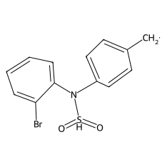 [CH2]c1ccc(N(c2ccccc2Br)[SH](=O)=O)cc1